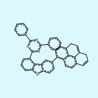 C1=Cc2ccc3c(-c4ccc5oc6cccc(-c7nc(-c8ccccc8)nc(-c8ccccc8)n7)c6c5c4)ccc4c3c2C(=CC4)C1